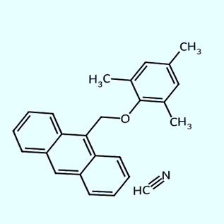 C#N.Cc1cc(C)c(OCc2c3ccccc3cc3ccccc23)c(C)c1